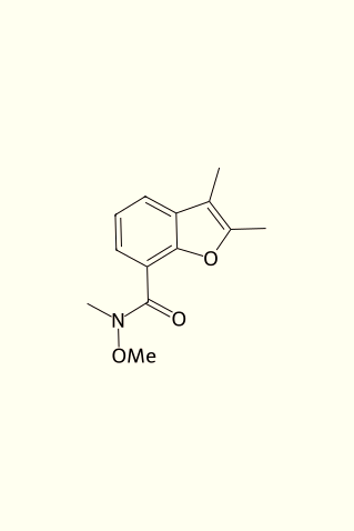 CON(C)C(=O)c1cccc2c(C)c(C)oc12